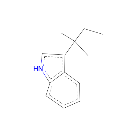 CCC(C)(C)c1c[nH]c2ccccc12